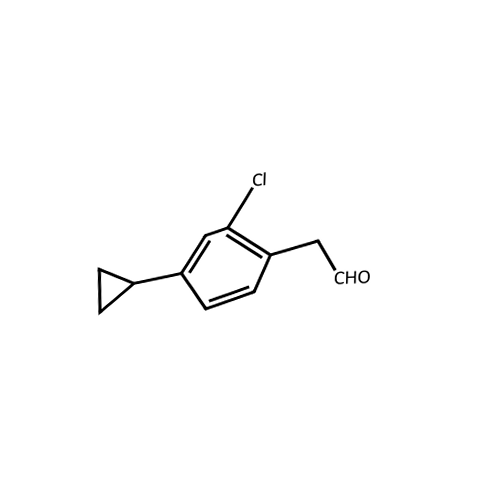 O=CCc1ccc(C2CC2)cc1Cl